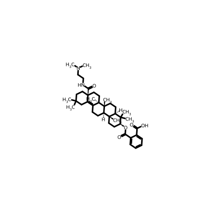 CN(C)CCNC(=O)[C@]12CCC(C)(C)CC1=C1CC[C@@H]3[C@@]4(C)CC[C@H](OC(=O)c5ccccc5C(=O)O)C(C)(C)[C@@H]4CC[C@@]3(C)[C@]1(C)CC2